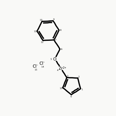 C1=CC[C]([Zr+2][O]Cc2ccccc2)=C1.[Cl-].[Cl-]